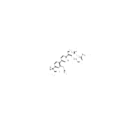 CC(C)c1cncc(Nc2c(-c3ccc(-c4ccc(C5(C(=O)O)CC5)cc4CC#N)cn3)cnn2C)n1